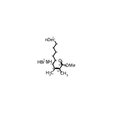 Br.CCCCCCCCCCCCCCCCC(C)=C(C)C(=O)OC.N